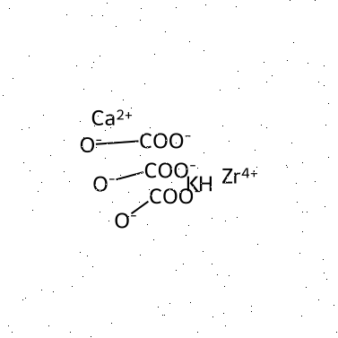 O=C([O-])[O-].O=C([O-])[O-].O=C([O-])[O-].[Ca+2].[KH].[Zr+4]